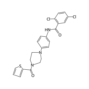 O=C(Nc1ccc(N2CCN(C(=O)c3cccs3)CC2)cc1)c1cc(Cl)ccc1Cl